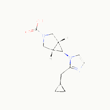 O=C(O)N1C[C@@H]2[C@H](C1)[C@H]2n1ccnc1CC1CC1